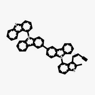 C#C/C=C\c1c(C)sc2cccc(-n3c4ccccc4c4cc(-c5ccc6c(c5)c5ccccc5n6-c5cccc6sc7ccccc7c56)ccc43)c12